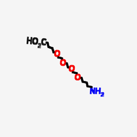 NCCCCCOCCOCCOCCOCCCCC(=O)O